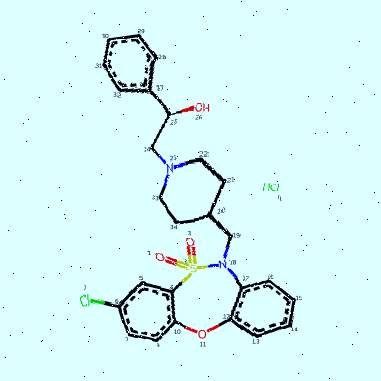 Cl.O=S1(=O)c2cc(Cl)ccc2Oc2ccccc2N1CC1CCN(C[C@H](O)c2ccccc2)CC1